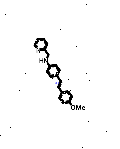 COc1ccc(/C=C/c2ccc(NCc3ccccn3)cc2)cc1